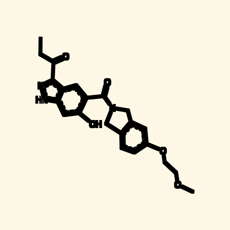 CCC(=O)c1n[nH]c2cc(O)c(C(=O)N3Cc4ccc(OCCOC)cc4C3)cc12